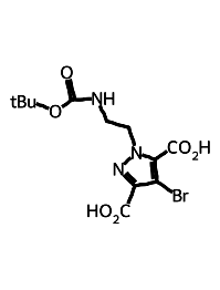 CC(C)(C)OC(=O)NCCn1nc(C(=O)O)c(Br)c1C(=O)O